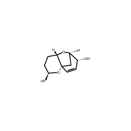 CCC[C@H]1CC[C@@H]2O[C@@H]3C[C@]2(C=C[C@H]3O)O1